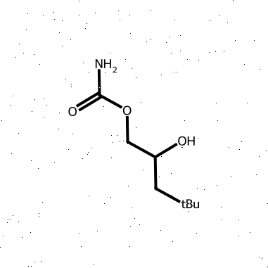 CC(C)(C)CC(O)COC(N)=O